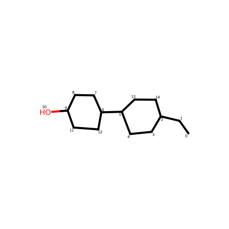 CCC1CCC(C2CCC(O)CC2)CC1